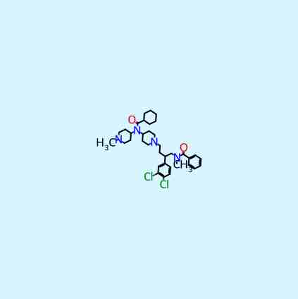 CN1CCC(N(C(=O)C2CCCCC2)C2CCN(CCC(CN(C)C(=O)c3ccccc3)c3ccc(Cl)c(Cl)c3)CC2)CC1